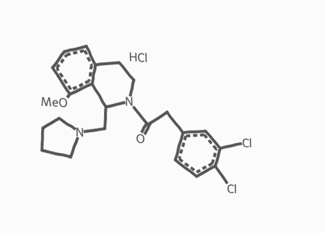 COc1cccc2c1C(CN1CCCC1)N(C(=O)Cc1ccc(Cl)c(Cl)c1)CC2.Cl